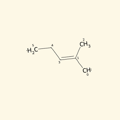 [CH]C(C)=CC[CH2]